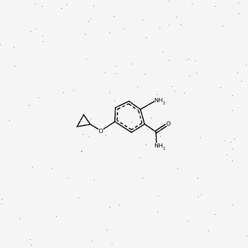 NC(=O)c1cc(OC2CC2)ccc1N